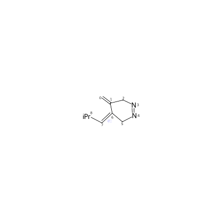 C=C1CN=NC/C1=C/C(C)C